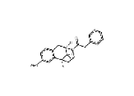 COc1ccc2c(c1)[C@]1(C)CCN(C(=O)Cc3cccnc3)[C@H](C2)[C@@H]1C